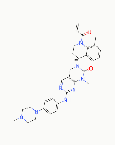 C=CC(=O)N1CC[C@@H](N2Cc3cnc(Nc4ccc(N5CCN(C)CC5)cc4)nc3N(C)C2=O)c2cccc(C)c21